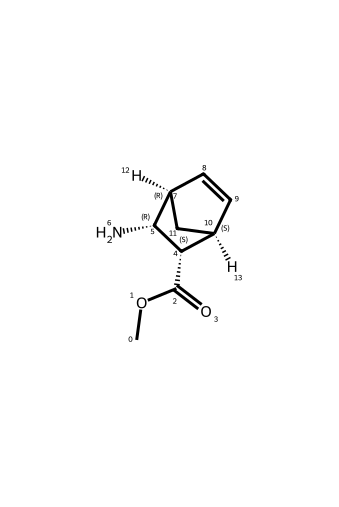 COC(=O)[C@@H]1[C@H](N)[C@H]2C=C[C@@H]1C2